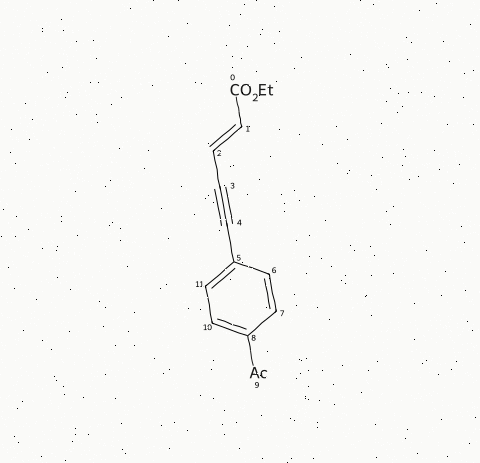 CCOC(=O)/C=C/C#Cc1ccc(C(C)=O)cc1